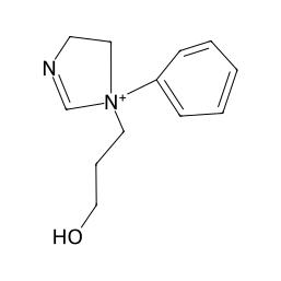 OCCC[N+]1(c2ccccc2)C=NCC1